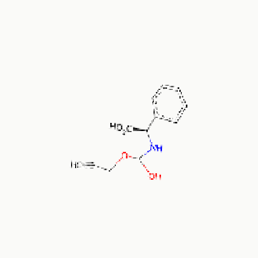 C#CCOC(O)N[C@@H](C(=O)O)c1ccccc1